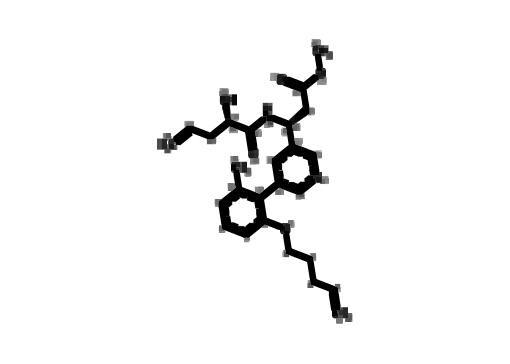 C=CCCCOc1cccc(C)c1-c1cncc([C@H](CC(=O)OC)NC(=O)[C@H](O)CC=C)c1